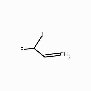 C=C[C](F)I